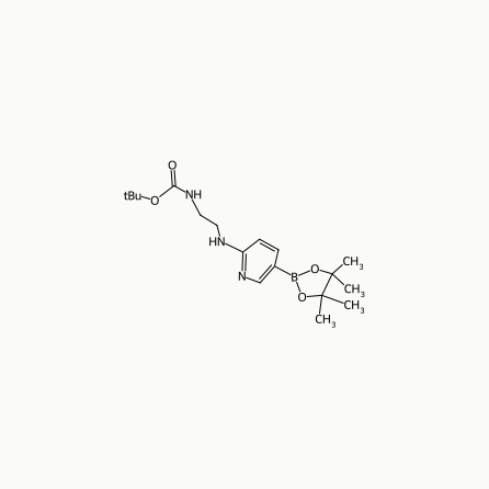 CC(C)(C)OC(=O)NCCNc1ccc(B2OC(C)(C)C(C)(C)O2)cn1